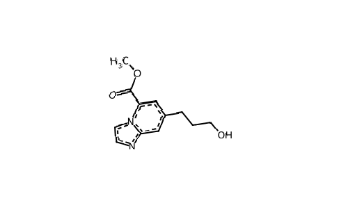 COC(=O)c1cc(CCCO)cc2nccn12